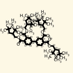 CN1C(C)(C)CC(COC(=O)c2ccc(-c3ccc(C(=O)OCC4CC(C)(C)N(C)C4(C)C)c(C(=O)OCC4CC(C)(C)N(C)C4(C)C)c3)cc2C(=O)OCC2CC(C)(C)NC2(C)C)C1(C)C